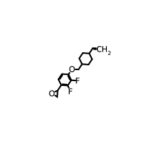 C=CC1CCC(COc2ccc(C3CO3)c(F)c2F)CC1